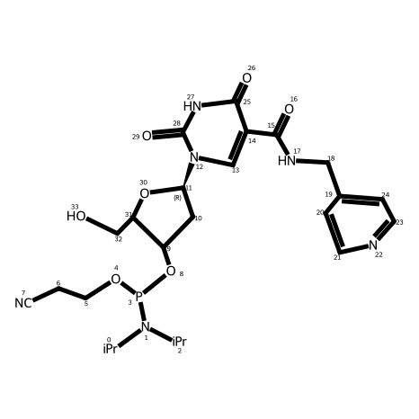 CC(C)N(C(C)C)P(OCCC#N)OC1C[C@H](n2cc(C(=O)NCc3ccncc3)c(=O)[nH]c2=O)OC1CO